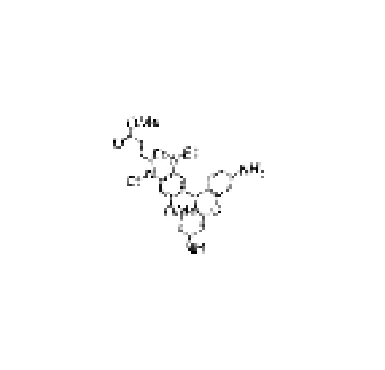 CCN(CC)c1cc(-c2c3ccc(=N)cc-3oc3cc(N)ccc23)c(OC)cc1N(CC)CCCC(=O)OC